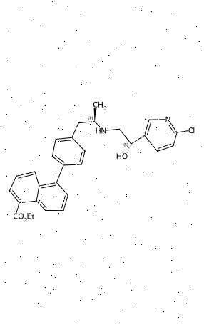 CCOC(=O)c1cccc2c(-c3ccc(C[C@@H](C)NC[C@@H](O)c4ccc(Cl)nc4)cc3)cccc12